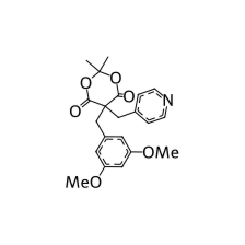 COc1cc(CC2(Cc3ccncc3)C(=O)OC(C)(C)OC2=O)cc(OC)c1